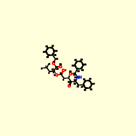 CC(C)C[C@H](OC(=O)CCC(=O)[C@H](Cc1ccccc1)NC(=O)c1ccccc1)C(=O)OCc1ccccc1